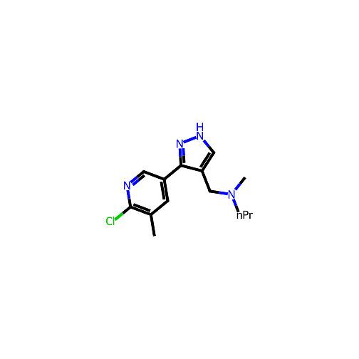 CCCN(C)Cc1c[nH]nc1-c1cnc(Cl)c(C)c1